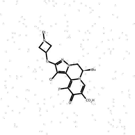 CCN1CC(Oc2nn3c(c2Cl)-c2c(F)c(=O)c(C(=O)O)cn2[C@H](C(C)(C)C)C3)C1